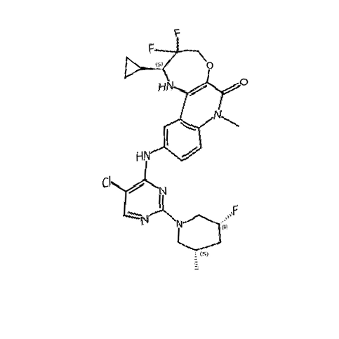 C[C@H]1C[C@@H](F)CN(c2ncc(Cl)c(Nc3ccc4c(c3)c3c(c(=O)n4C)OCC(F)(F)[C@H](C4CC4)N3)n2)C1